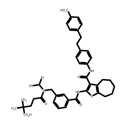 CCC(CC)N(Cc1cccc(C(=O)Nc2sc3c(c2C(=O)Nc2ccc(CCc4ccc(C(=O)O)cc4)cc2)CCCCC3)c1)C(=O)CCC(C)(C)C(=O)O